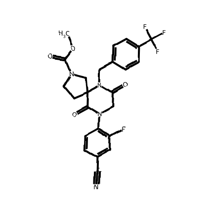 COC(=O)N1CCC2(C1)C(=O)N(c1ccc(C#N)cc1F)CC(=O)N2Cc1ccc(C(F)(F)F)cc1